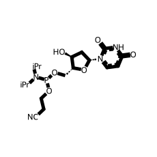 CC(C)N(C(C)C)P(OCCC#N)OC[C@H]1O[C@@H](n2ccc(=O)[nH]c2=O)C[C@@H]1O